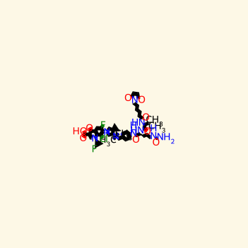 CC(C)[C@H](NC(=O)CCCCCN1C(=O)C=CC1=O)C(=O)N[C@@H](CCCNC(N)=O)C(=O)Nc1ccc(C[N+](C)(C)[C@@H]2CN(c3c(F)cc4c(=O)c(C(=O)O)cn([C@H]5C[C@@H]5F)c4c3Cl)CC23CC3)cc1